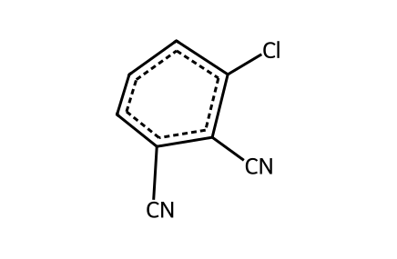 N#Cc1cccc(Cl)c1C#N